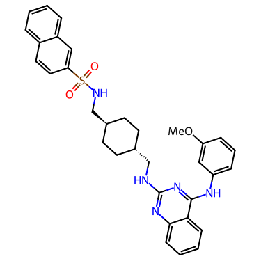 COc1cccc(Nc2nc(NC[C@H]3CC[C@H](CNS(=O)(=O)c4ccc5ccccc5c4)CC3)nc3ccccc23)c1